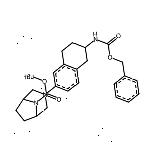 CC(C)(C)OC(=O)N1C2CCC1CN(c1ccc3c(c1)CCC(NC(=O)OCc1ccccc1)C3)C2